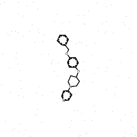 c1ccc(COc2ccc(OC3CCN(c4ccncc4)CC3)cc2)cc1